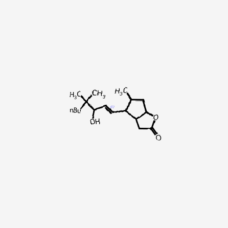 CCCCC(C)(C)C(O)/C=C/C1C(C)CC2OC(=O)CC21